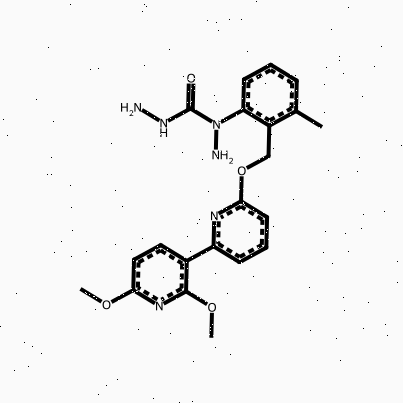 COc1ccc(-c2cccc(OCc3c(C)cccc3N(N)C(=O)NN)n2)c(OC)n1